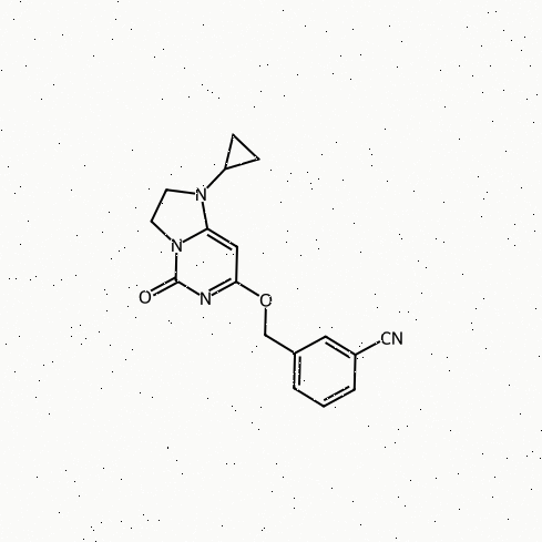 N#Cc1cccc(COc2cc3n(c(=O)n2)CCN3C2CC2)c1